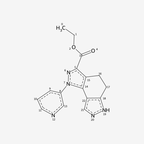 CCOC(=O)c1nn(-c2cccnc2)c2c1CCc1[nH]ncc1-2